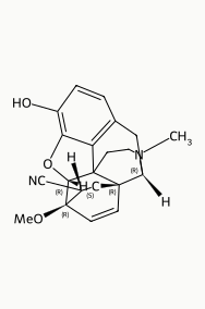 CO[C@]12C=C[C@@]3(C[C@H]1C#N)[C@H]1Cc4ccc(O)c5c4C3(CCN1C)[C@H]2O5